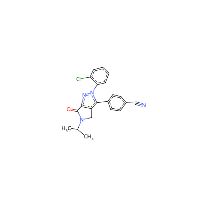 CC(C)N1Cc2c(nn(-c3ccccc3Cl)c2-c2ccc(C#N)cc2)C1=O